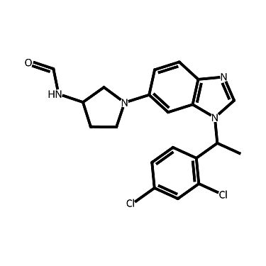 CC(c1ccc(Cl)cc1Cl)n1cnc2ccc(N3CCC(NC=O)C3)cc21